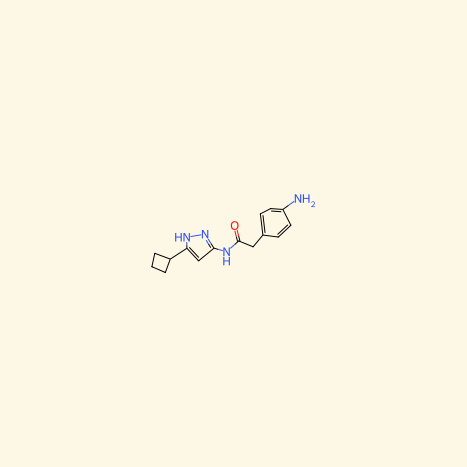 Nc1ccc(CC(=O)Nc2cc(C3CCC3)[nH]n2)cc1